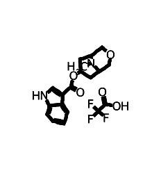 CN1C2COCC1CC(OC(=O)c1c[nH]c3ccccc13)C2.O=C(O)C(F)(F)F